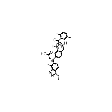 CCn1nnc2c(C)c([C@@H](CC(=O)O)c3ccc4c(c3)[C@@H]3CC[C@H](C4)N3C(=O)c3cc(C)ccc3C)ccc21